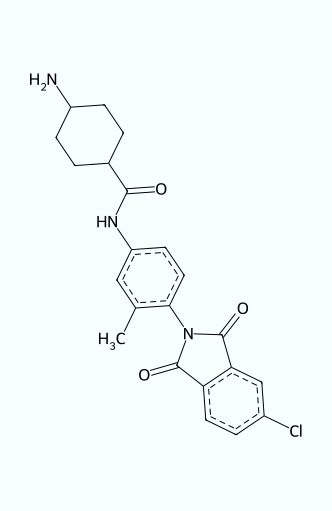 Cc1cc(NC(=O)C2CCC(N)CC2)ccc1N1C(=O)c2ccc(Cl)cc2C1=O